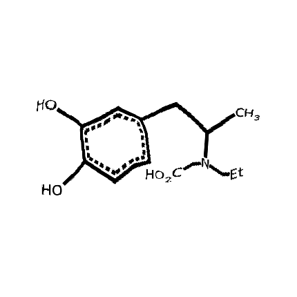 CCN(C(=O)O)C(C)Cc1ccc(O)c(O)c1